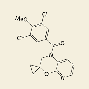 COc1c(Cl)cc(C(=O)N2CC3(CC3)Oc3ncccc32)cc1Cl